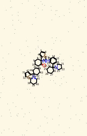 CCNC1(c2cccs2)CCCCC1=O.c1ccc(C2(N3CCCC3)CCCCC2)cc1.c1csc(C2(N3CCCCC3)CCCCC2)c1